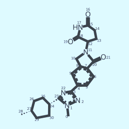 Cn1nc(-c2ccc3c(c2)CN(C2CCC(=O)NC2=O)C3=O)nc1[C@H]1CC[C@@H](C)CC1